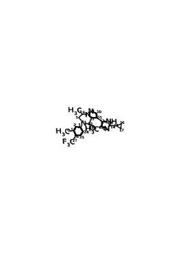 Cc1cc(N2CC(C)n3ncc(-c4[nH]c(C5CC5)nc4C)c3C2=O)ccc1C(F)(F)F